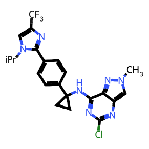 CC(C)n1cc(C(F)(F)F)nc1-c1ccc(C2(Nc3nc(Cl)nc4cn(C)nc34)CC2)cc1